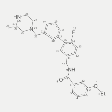 CCOc1cccc(C(=O)NCc2ccc(F)c(-c3cccc(CN4CCN[C@@H](C)C4)c3)c2)c1